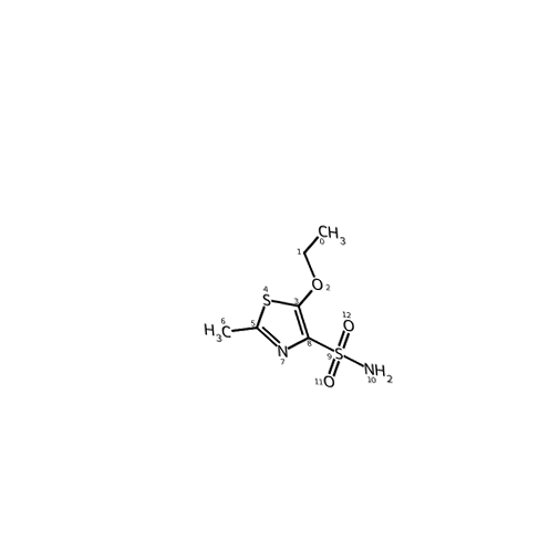 CCOc1sc(C)nc1S(N)(=O)=O